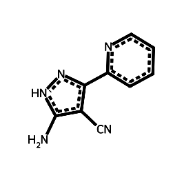 N#Cc1c(-c2ccccn2)n[nH]c1N